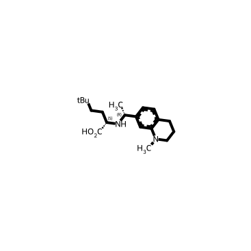 C[C@@H](N[C@@H](CCC(C)(C)C)C(=O)O)c1ccc2c(c1)N(C)CCC2